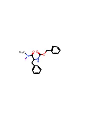 CON(I)C(=O)C(Cc1ccccc1)NC(=O)OCc1ccccc1